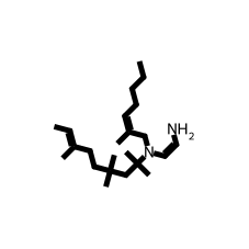 C/C=C(\C)CCC(C)(C)CC(C)(C)N(/C=C\N)C/C(C)=C\CCCC